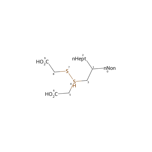 CCCCCCCCCC(CCCCCCC)C[SH](CC(=O)O)SCC(=O)O